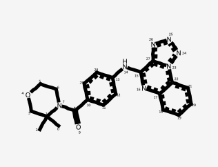 CC1(C)COCCN1C(=O)c1ccc(Nc2nc3ccccc3n3nnnc23)cc1